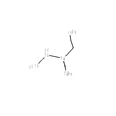 CCCCN(N)NN